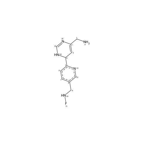 NCC1=CC(c2ccc(CNF)cn2)NC=N1